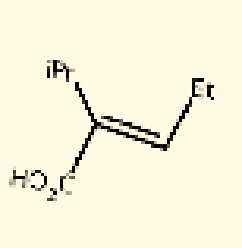 CCC=C(C(=O)O)C(C)C